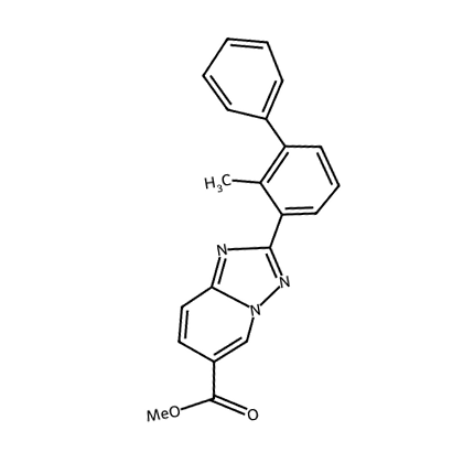 COC(=O)c1ccc2nc(-c3cccc(-c4ccccc4)c3C)nn2c1